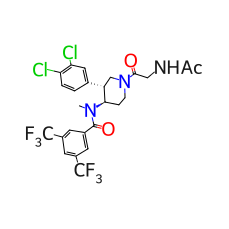 CC(=O)NCC(=O)N1CC[C@@H](N(C)C(=O)c2cc(C(F)(F)F)cc(C(F)(F)F)c2)[C@H](c2ccc(Cl)c(Cl)c2)C1